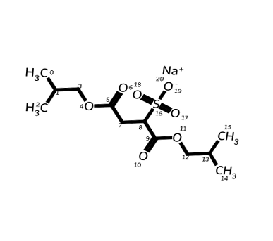 CC(C)COC(=O)CC(C(=O)OCC(C)C)S(=O)(=O)[O-].[Na+]